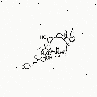 CCn1c(-c2cccnc2COC)c2c3cc(ccc31)-c1cc(O)cc(c1)C[C@H](NC(=O)[C@H](C(C)C)N(C)C(=O)C1(O)CCN(C(=O)/C=C/CN3CCOCC3)C1)C(=O)N1CCC[C@H](N1)C(=O)OCC(C)(C)C2